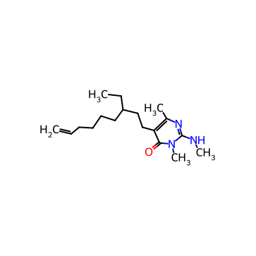 C=CCCCCC(CC)CCc1c(C)nc(NC)n(C)c1=O